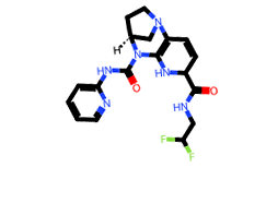 O=C(NCC(F)F)C1C=CC2=C(N1)N(C(=O)Nc1ccccn1)[C@H]1CCN2C1